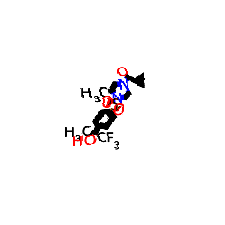 CC1CN(C(=O)C2CC2)CCN1S(=O)(=O)c1ccc([C@@](C)(O)C(F)(F)F)cc1